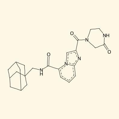 O=C1CN(C(=O)c2cn3c(C(=O)NCC45CC6CC(CC(C6)C4)C5)cccc3n2)CCN1